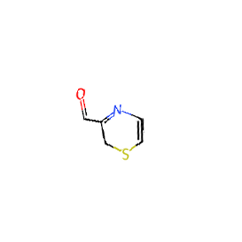 O=CC1=NC=CSC1